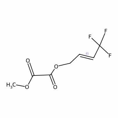 COC(=O)C(=O)OC/C=C/C(F)(F)F